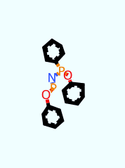 c1ccc(OP=NP(Oc2ccccc2)c2ccccc2)cc1